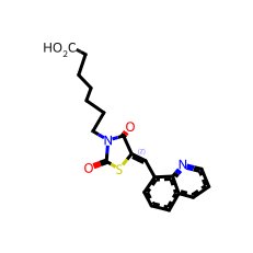 O=C(O)CCCCCCN1C(=O)S/C(=C\c2cccc3cccnc23)C1=O